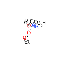 CCOCCOCCC(=O)N[C@@H](C)C(=O)O